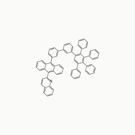 c1ccc(-c2cc(-c3cccc(-c4cccc(-c5c6ccccc6c(-c6ccc7ccccc7n6)c6ccccc56)c4)c3)c(-c3ccccc3)c(-c3ccccc3)c2-c2ccccc2)cc1